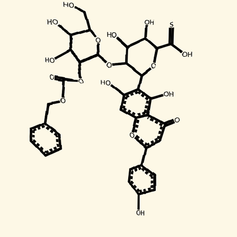 O=C(OCc1ccccc1)OC1C(OC2C(c3c(O)cc4oc(-c5ccc(O)cc5)cc(=O)c4c3O)OC(C(O)=S)C(O)C2O)OC(CO)C(O)C1O